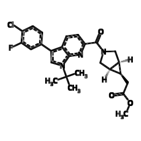 COC(=O)C[C@H]1[C@H]2CN(C(=O)c3ccc4c(-c5ccc(Cl)c(F)c5)cn(C(C)(C)C)c4n3)C[C@@H]12